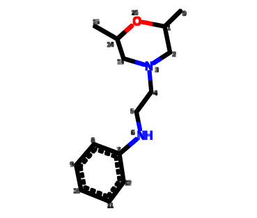 CC1CN(CCNc2ccccc2)CC(C)O1